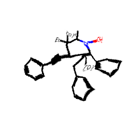 CCC1(C(=O)O)C(C)N(O)C(c2ccccc2)C(Cc2ccccc2)(C(=O)O)C1C#Cc1ccccc1